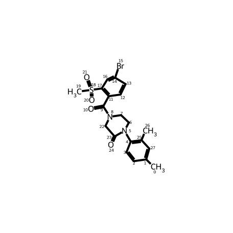 Cc1ccc(N2CCN(C(=O)c3ccc(Br)cc3S(C)(=O)=O)CC2=O)c(C)c1